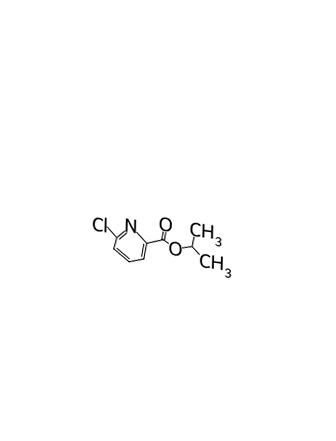 CC(C)OC(=O)c1cccc(Cl)n1